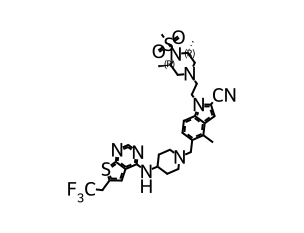 Cc1c(CN2CCC(Nc3ncnc4sc(CC(F)(F)F)cc34)CC2)ccc2c1cc(C#N)n2CCN1C[C@@H](C)N(S(C)(=O)=O)[C@H](C)C1